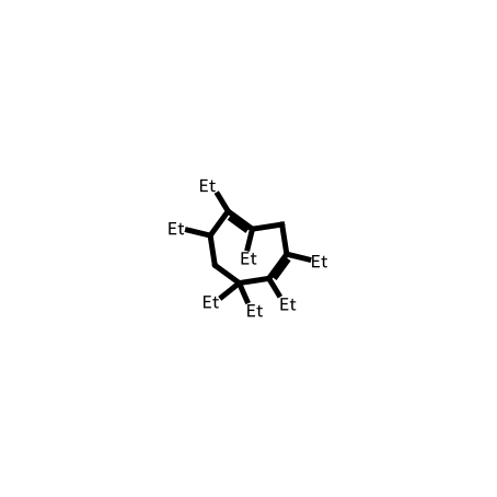 CC/C1=C(\CC)C(CC)(CC)CC(CC)/C(CC)=C(\CC)C1